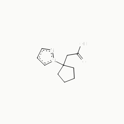 O=C(O)CC1(n2cccn2)CCCC1